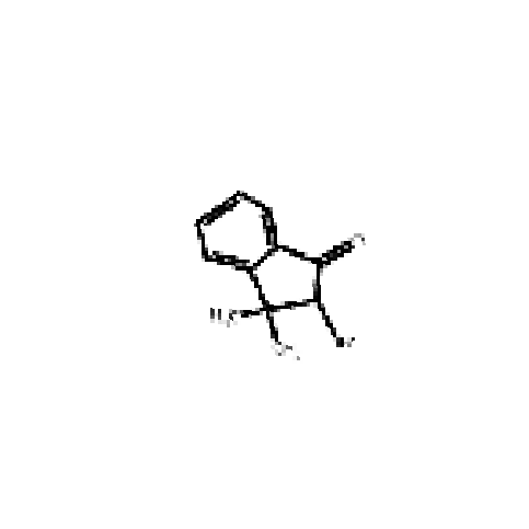 CC(C)C1C(=O)c2ccccc2C1(C)C